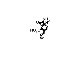 CC(=O)SCC1=C(C(=O)O)N2C(=O)C(N)[C@@H]2SC1